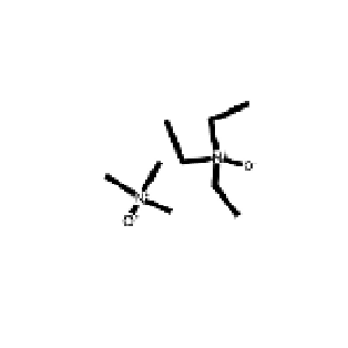 CC[N+]([O-])(CC)CC.C[N+](C)(C)[O-]